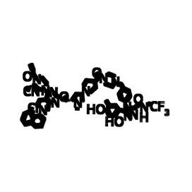 C=CC(=O)N1CCN(c2nc(OC[C@@H]3C[C@H](N4CCC(C(=O)N5CCN(Cc6ccc(-n7c(C(=O)NCC(F)(F)F)nnc7-c7cc(C)c(O)cc7O)cc6)CC5)CC4)CN3C)nc3c2CCN(c2cccc4cccc(Cl)c24)C3)C[C@@H]1CC#N